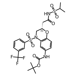 CC(C)S(=O)(=O)NC(=O)C[C@H]1CN(S(=O)(=O)c2cccc(C(F)(F)F)c2)c2cc(NC(=O)OC(C)(C)C)ccc2O1